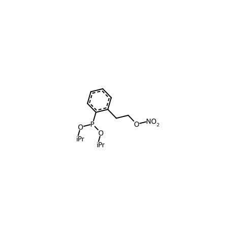 CC(C)OP(OC(C)C)c1ccccc1CCO[N+](=O)[O-]